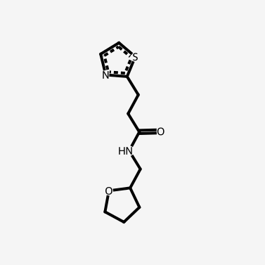 O=C(CCc1nccs1)NCC1CCCO1